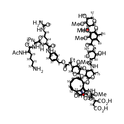 CCN(C(=O)OCc1ccc(NC(=O)[C@H](CCCNC(N)=O)NC(=O)[C@@H](NC(=O)[C@H](CCCCN)NC(C)=O)C(C)C)cc1)[C@H]1CO[C@@H](O[C@H]2[C@H](O[C@H]3C#CC=CC#C[C@]4(O)CC(=O)C(NC(=O)OC)=C3/C4=C\CSSC(CC(=O)O)C(=O)O)O[C@H](C)[C@@H](NO[C@H]3C[C@H](O)[C@H](SC(=O)c4c(C)c(I)c(O[C@@H]5O[C@@H](C)[C@H](O)[C@@H](OC)[C@H]5O)c(OC)c4OC)[C@@H](C)O3)[C@@H]2O)C[C@@H]1OC